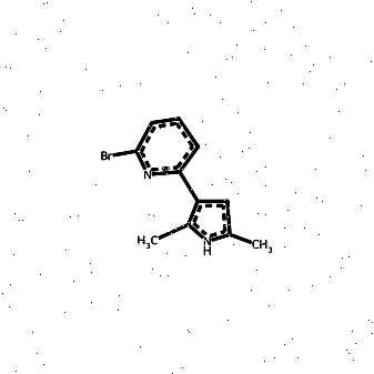 Cc1cc(-c2cccc(Br)n2)c(C)[nH]1